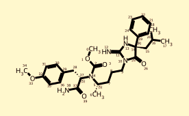 COC(=O)N([C@@H](C)CCCN1C(=N)N[C@](CC(C)C)(c2ccccc2)C1=O)[C@@H](Cc1ccc(OC)cc1)C(N)=O